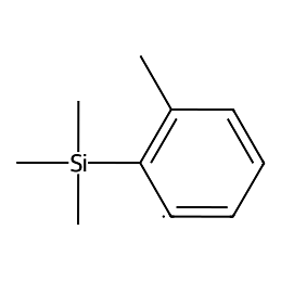 Cc1ccc[c]c1[Si](C)(C)C